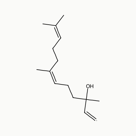 [CH]=CC(C)(O)CCC=C(C)CCC=C(C)C